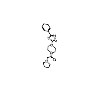 O=C(CN1CCCC1)N1CCN(c2nc(C3=CCCC=C3)ns2)CC1